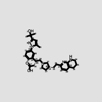 Cc1cc(C(C)(C)O)nn1-c1cccc([C@@H](CC(=O)O)CN2CC[C@@H](CCc3ccc4c(n3)NCCC4)C2)c1